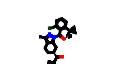 COC(=O)[C@@H]1CCc2c(I)nn(C(=O)c3c(Cl)cccc3C3(C(F)(F)F)CC3)c2C1